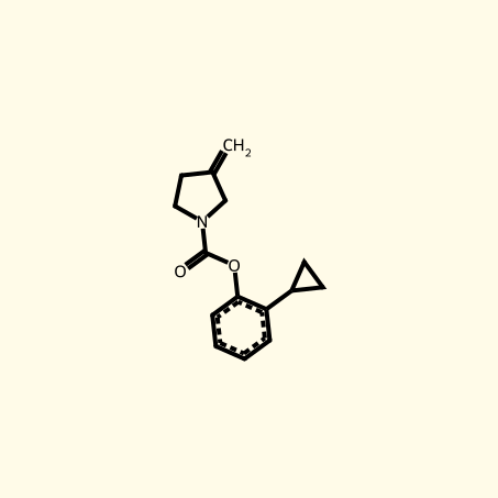 C=C1CCN(C(=O)Oc2ccccc2C2CC2)C1